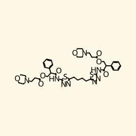 O=C(CCN1CCOCC1)OCC(C(=O)Nc1nnc(CCCCc2nnc(NC(=O)C(COC(=O)CCN3CCOCC3)c3ccccc3)s2)s1)c1ccccc1